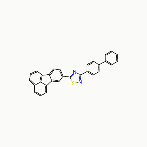 c1ccc(-c2ccc(-c3nsc(-c4ccc5c(c4)-c4cccc6cccc-5c46)n3)cc2)cc1